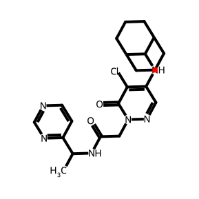 CC(NC(=O)Cn1ncc(NC2C3CCCC2CCC3)c(Cl)c1=O)c1ccncn1